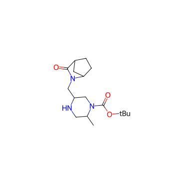 CC1CNC(CN2C(=O)C3CCC2C3)CN1C(=O)OC(C)(C)C